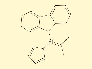 C[C](C)=[Hf]([CH]1C=CC=C1)[CH]1c2ccccc2-c2ccccc21